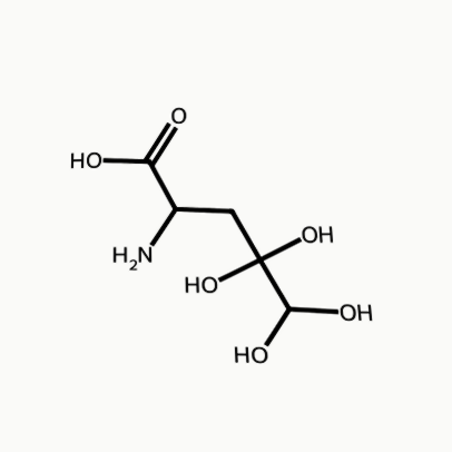 NC(CC(O)(O)C(O)O)C(=O)O